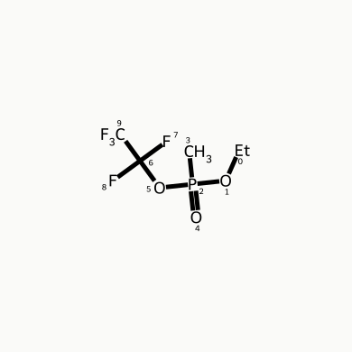 CCOP(C)(=O)OC(F)(F)C(F)(F)F